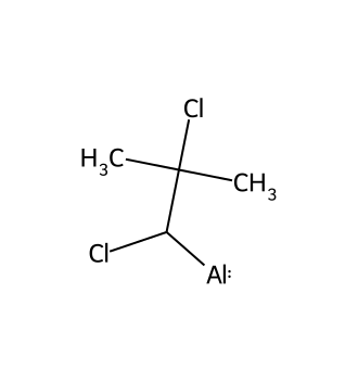 CC(C)(Cl)[CH]([Al])Cl